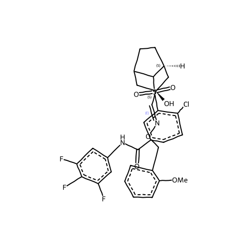 COc1ccccc1CO/N=C/[C@]1(O)CC2CC[C@@H](C1)C2S(=O)(=O)c1cc(C(=O)Nc2cc(F)c(F)c(F)c2)ccc1Cl